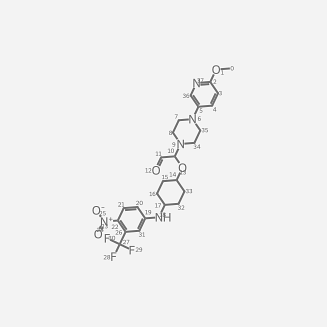 COc1ccc(N2CCN(C(C=O)OC3CCC(Nc4ccc([N+](=O)[O-])c(C(F)(F)F)c4)CC3)CC2)cn1